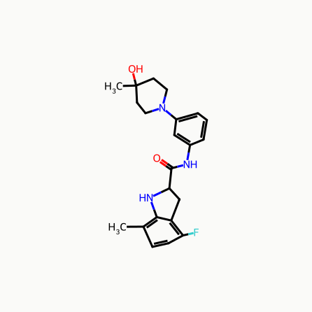 Cc1ccc(F)c2c1NC(C(=O)Nc1cccc(N3CCC(C)(O)CC3)c1)C2